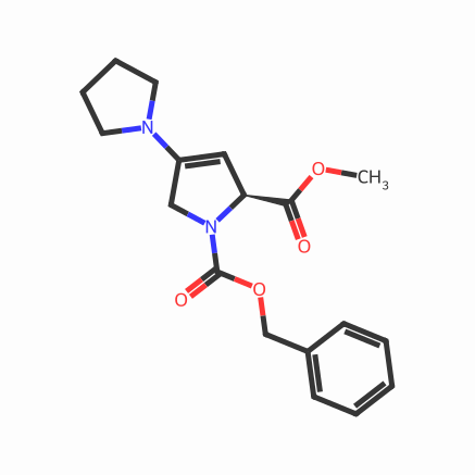 COC(=O)[C@@H]1C=C(N2CCCC2)CN1C(=O)OCc1ccccc1